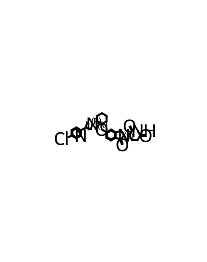 O=C1CC[C@H](N2Cc3cc(O[C@@H]4CCCC[C@H]4N4CC(c5ccc(Cl)cn5)C4)ccc3C2=O)C(=O)N1